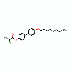 CCCCCCCCCCCCCCCCCOc1ccc(-c2ccc(OC(=O)C(Cl)C(C)C)cc2)cc1